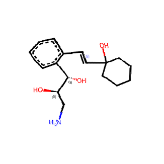 NC[C@@H](O)[C@@H](O)c1ccccc1/C=C/C1(O)CCCCC1